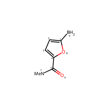 Bc1ccc(C(=O)NC)o1